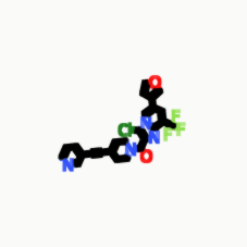 O=C(c1nc2c(C(F)(F)F)cc(-c3ccoc3)cn2c1Cl)N1CC=C(C#Cc2cccnc2)CC1